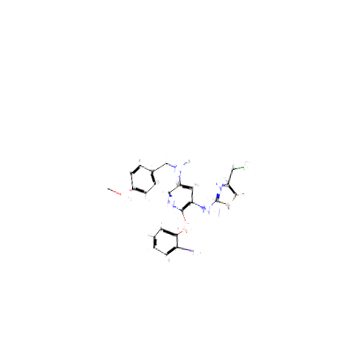 COc1ccc(CN(C)c2cnc(Oc3ccccc3I)c(Nc3nc(CF)cs3)c2)cc1